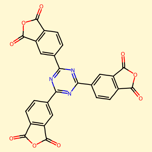 O=C1OC(=O)c2cc(-c3nc(-c4ccc5c(c4)C(=O)OC5=O)nc(-c4ccc5c(c4)C(=O)OC5=O)n3)ccc21